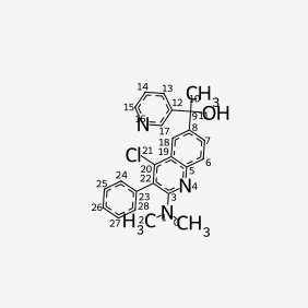 CN(C)c1nc2ccc(C(C)(O)c3cccnc3)cc2c(Cl)c1-c1ccccc1